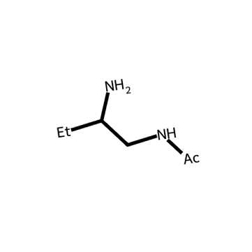 CCC(N)CNC(C)=O